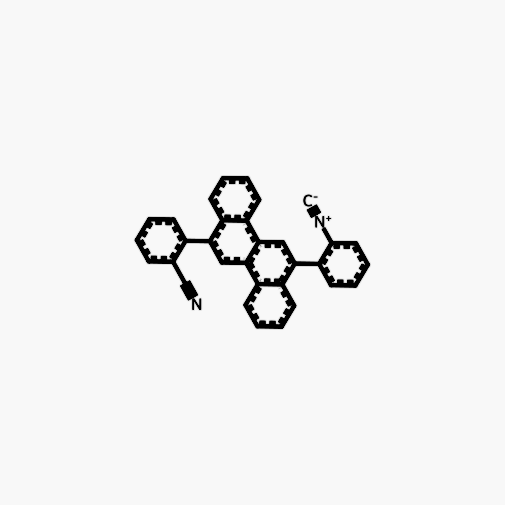 [C-]#[N+]c1ccccc1-c1cc2c3ccccc3c(-c3ccccc3C#N)cc2c2ccccc12